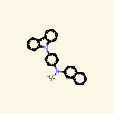 CN(c1ccc(-n2c3ccccc3c3ccccc32)cc1)c1ccc2ccccc2c1